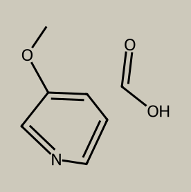 COc1cccnc1.O=CO